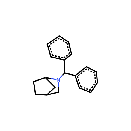 [CH]1C2CCC(C2)N1C(c1ccccc1)c1ccccc1